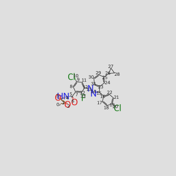 CS(=O)(=O)NC(=O)c1cc(Cl)cc(-n2nc(-c3ccc(Cl)cc3)c3cc(C4CC4)ccc32)c1F